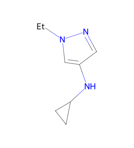 CCn1cc(NC2CC2)cn1